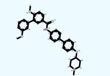 COc1cccc(-c2cc(C(=O)Nc3ccc(-c4ccc(OC5CCN(C)CC5)cc4)cc3)ccc2OC)c1